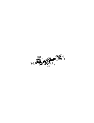 CC(CCCOS(C)(=O)=O)[Si](C)(C)O[C@H]1C[C@@H](n2cnc3c(N)nc(N)nc32)O[C@@H]1CO